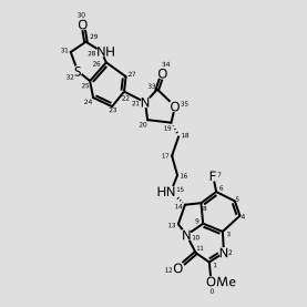 COc1nc2ccc(F)c3c2n(c1=O)C[C@@H]3NCCC[C@@H]1CN(c2ccc3c(c2)NC(=O)CS3)C(=O)O1